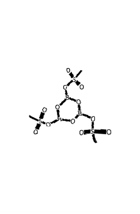 CS(=O)(=O)OB1OB(OS(C)(=O)=O)OB(OS(C)(=O)=O)O1